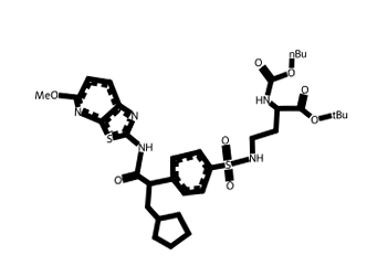 CCCCOC(=O)NC(CCNS(=O)(=O)c1ccc(C(CC2CCCC2)C(=O)Nc2nc3ccc(OC)nc3s2)cc1)C(=O)OC(C)(C)C